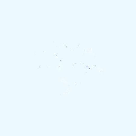 COC(=O)NCCN1C(=O)[C@@H](C)Oc2cc(Br)c(C(=O)N(C(C)C)C3CCCCC3)cc21